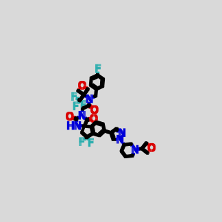 O=C1N[C@]2(CC(F)(F)c3cc(-c4cnn([C@@H]5CCCN(C6COC6)C5)c4)ccc32)C(=O)N1CC(=O)N(Cc1ccc(F)cc1)C1(C(F)(F)F)COC1